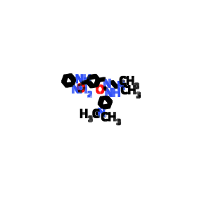 CN(C)CCN(Cc1ccc(C(=O)Nc2ccccc2N)cc1)C(=O)Nc1ccc(N(C)C)cc1